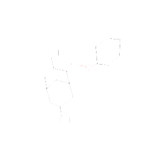 CC1CC2CC(C)C(OOC3CCCCC3)C(C1)C2